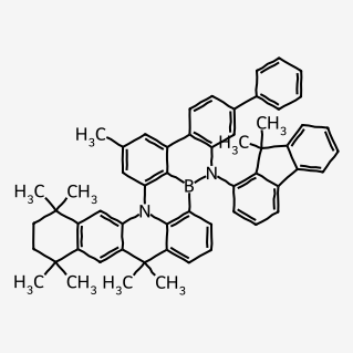 Cc1cc2c3c(c1)N1c4cc5c(cc4C(C)(C)c4cccc(c41)B3N(c1cccc3c1C(C)(C)c1ccccc1-3)c1cc(-c3ccccc3)ccc1-2)C(C)(C)CCC5(C)C